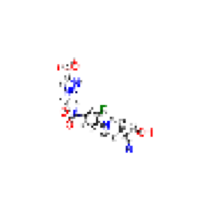 COC(=O)c1cn(C[C@@H]2CN(c3ccc(N4CCC(C(C#N)CO)CC4)c(F)c3)C(=O)O2)nn1